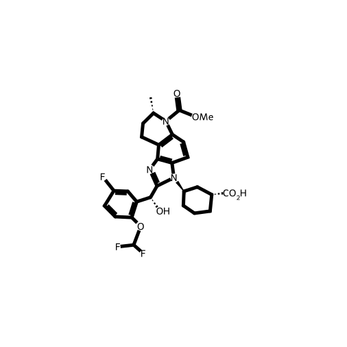 COC(=O)N1c2ccc3c(nc([C@H](O)c4cc(F)ccc4OC(F)F)n3[C@@H]3CCC[C@@H](C(=O)O)C3)c2CC[C@@H]1C